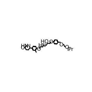 Cc1cc(C2=NNC(=O)CC2)ccc1OCCNCC(O)COc1ccc(COCCOC(C)C)cc1